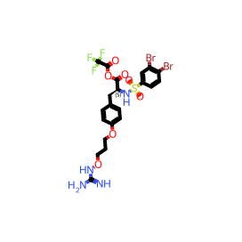 N=C(N)NOCCCOc1ccc(C[C@H](NS(=O)(=O)c2ccc(Br)c(Br)c2)C(=O)OC(=O)C(F)(F)F)cc1